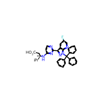 CC(C)[C@@H](CC(=O)O)Nc1ccnc(-c2nn(C(c3ccccc3)(c3ccccc3)c3ccccc3)c3ncc(F)cc23)n1